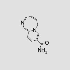 NC(=O)C1=CN2CC=CC=NC=C2C=C1